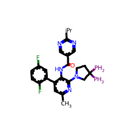 Cc1cc(-c2cc(F)ccc2F)c(NC(=O)c2cnc(C(C)C)nc2)c(N2CCC(P)(P)C2)n1